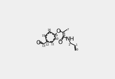 C=CCNC(=O)C(C)Oc1ccc(C=O)cc1